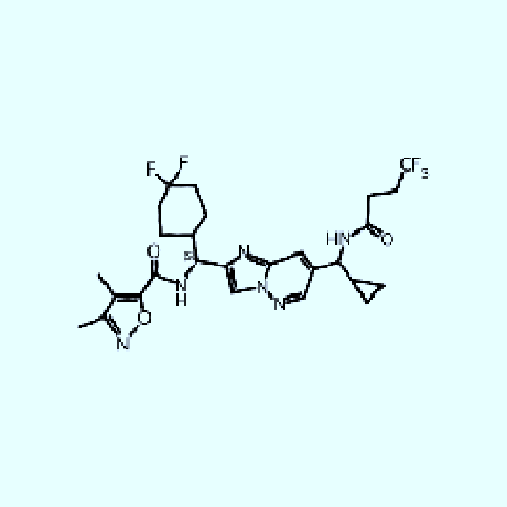 Cc1noc(C(=O)N[C@H](c2cn3ncc(C(NC(=O)CCC(F)(F)F)C4CC4)cc3n2)C2CCC(F)(F)CC2)c1C